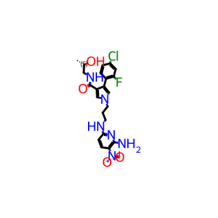 C[C@H](O)CNC(=O)c1cn(CCCNc2ccc([N+](=O)[O-])c(N)n2)cc1-c1ccc(Cl)cc1F